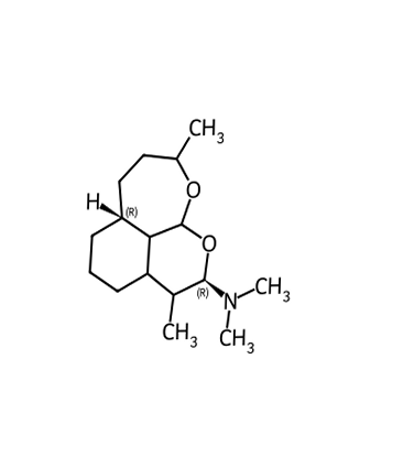 CC1CC[C@H]2CCCC3C2C(O1)O[C@@H](N(C)C)C3C